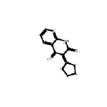 O=C1Nc2ncccc2C(=O)C1=C1CCCC1